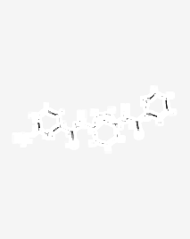 Cc1nccc(C(=O)NC23CCCC(NC(=O)c4ccccn4)(CC2)C3)n1